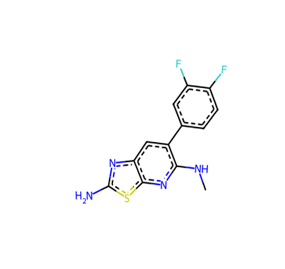 CNc1nc2sc(N)nc2cc1-c1ccc(F)c(F)c1